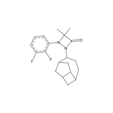 CC1(C)C(=O)N(C2CCC3CC4CC2CC34)N1c1cccc(F)c1F